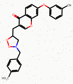 N#Cc1cccc(Oc2ccc3c(=O)c(CC4CN(Cc5ccc(C(=O)O)cc5)OO4)coc3c2)c1